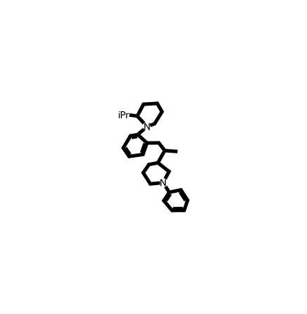 CC(C)C1CCCCN1c1ccccc1CC(C)C1CCCN(c2ccccc2)C1